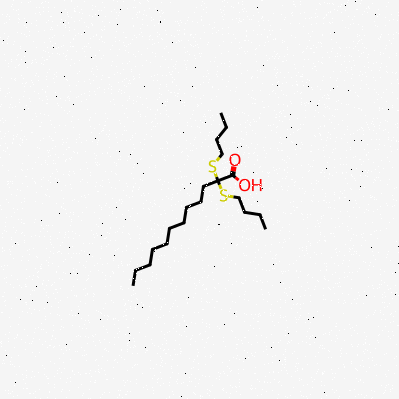 CCCCCCCCCCC(SCCCC)(SCCCC)C(=O)O